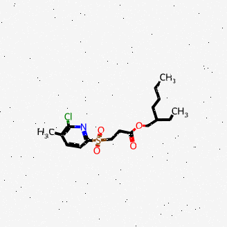 CCCCC(CC)COC(=O)CCS(=O)(=O)c1ccc(C)c(Cl)n1